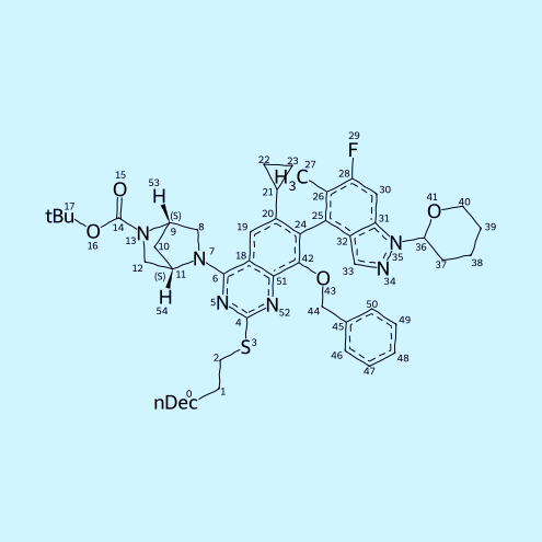 CCCCCCCCCCCCSc1nc(N2C[C@@H]3C[C@H]2CN3C(=O)OC(C)(C)C)c2cc(C3CC3)c(-c3c(C)c(F)cc4c3cnn4C3CCCCO3)c(OCc3ccccc3)c2n1